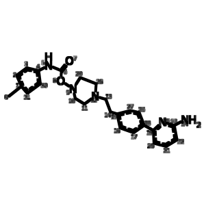 Cc1ccc(NC(=O)ON2CCN(CCc3ccc(-c4cccc(N)n4)cc3)CC2)cc1